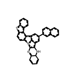 C1=CC2=Nc3c(c4cc(-c5ccc6ccccc6c5)cc5c6c7c(ccc6n3c45)sc3ccccc37)NC2C=C1